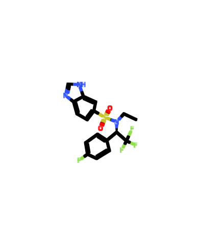 CCN([C@H](c1ccc(F)cc1)C(F)(F)F)S(=O)(=O)c1ccc2nc[nH]c2c1